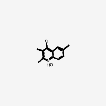 Cc1ccc2nc(C)c(C)c(Cl)c2c1.Cl